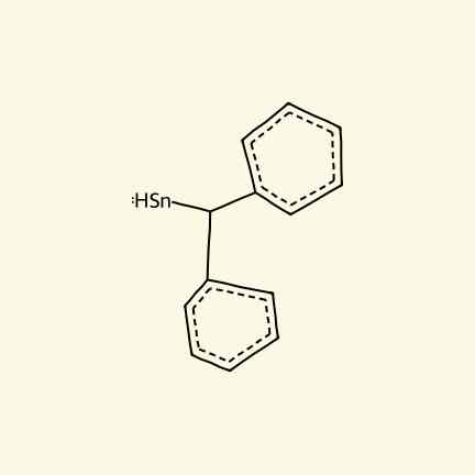 [SnH][CH](c1ccccc1)c1ccccc1